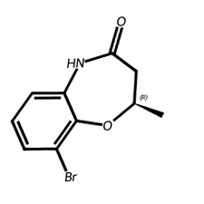 C[C@@H]1CC(=O)Nc2cccc(Br)c2O1